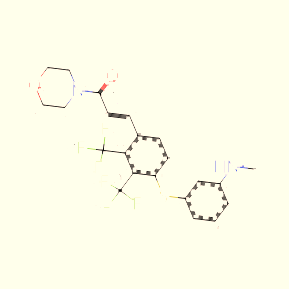 CNc1cccc(Sc2ccc(/C=C/C(=O)N3CCOCC3)c(C(F)(F)F)c2C(F)(F)F)c1